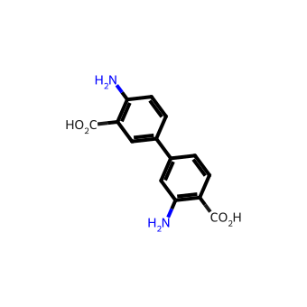 Nc1cc(-c2ccc(N)c(C(=O)O)c2)ccc1C(=O)O